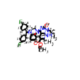 C=CCn1c2c(c(N3CCN(C(c4ccc(F)cc4)c4ccc(F)cc4)CC3)nc1=O)C(c1ccccc1)C(C(=O)OCC)=C(C)N2